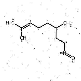 CC(C)=CCCC(C)CCN=O